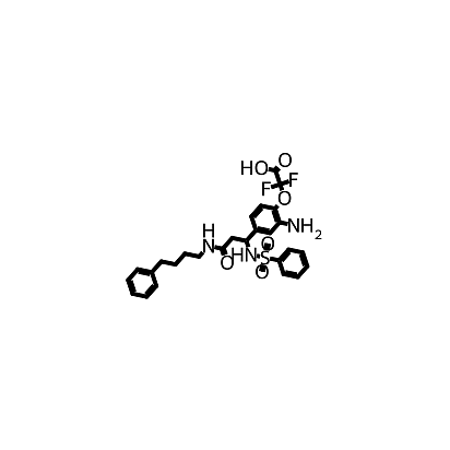 Nc1cc(C(CC(=O)NCCCCc2ccccc2)NS(=O)(=O)c2ccccc2)ccc1OC(F)(F)C(=O)O